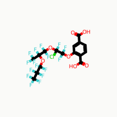 O=C(O)c1ccc(C(=O)O)c(OC(F)(F)C(F)(Cl)OC(F)(F)C(F)(OC(F)(F)C(F)(F)C(F)(F)F)C(F)(F)F)c1